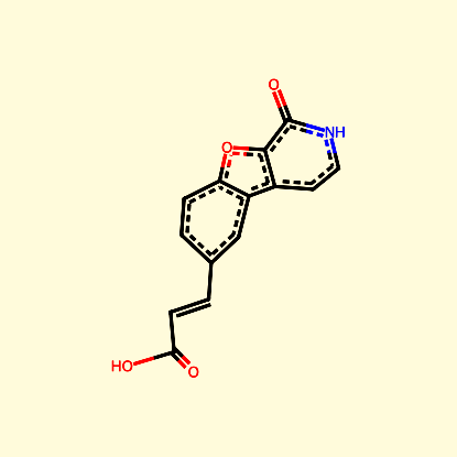 O=C(O)C=Cc1ccc2oc3c(=O)[nH]ccc3c2c1